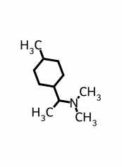 CC1CCC(C(C)N(C)C)CC1